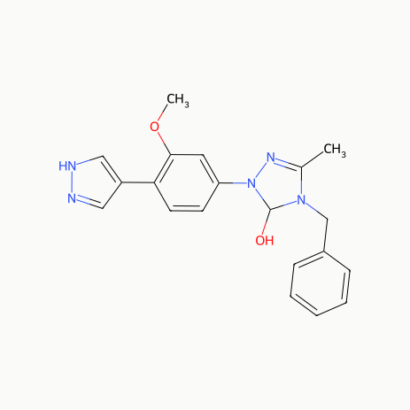 COc1cc(N2N=C(C)N(Cc3ccccc3)C2O)ccc1-c1cn[nH]c1